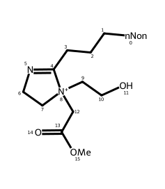 CCCCCCCCCCCCC1=NCC[N+]1(CCO)CC(=O)OC